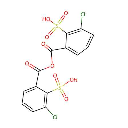 O=C(OC(=O)c1cccc(Cl)c1S(=O)(=O)O)c1cccc(Cl)c1S(=O)(=O)O